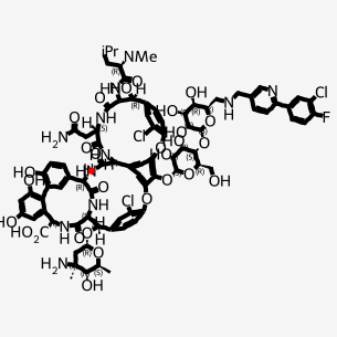 CN[C@H](CC(C)C)C(=O)NC1C(=O)N[C@@H](CC(N)=O)C(=O)N[C@H]2C(=O)N[C@H]3C(=O)N[C@H](C(=O)N[C@@H](C(=O)O)c4cc(O)cc(O)c4-c4cc3ccc4O)[C@H](O[C@H]3C[C@](C)(N)[C@@H](O)[C@H](C)O3)c3ccc(c(Cl)c3)Oc3cc2cc(c3O[C@@H]2O[C@H](CO)[C@@H](O[C@@H]3O[C@H](CNCc4ccc(-c5ccc(F)c(Cl)c5)nc4)[C@H](O)[C@H](O)[C@H]3O)[C@H](O)[C@H]2O)Oc2ccc(cc2Cl)[C@H]1O